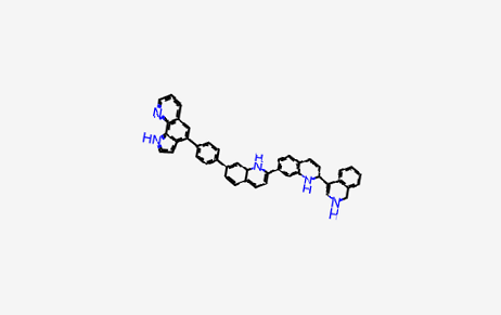 C1=CC2=CC=C(c3ccc4c(c3)NC(C3=CNCc5ccccc53)C=C4)NC2C=C1c1ccc(-c2cc3cccnc3c3[nH]ccc23)cc1